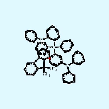 CC1(C)c2ccccc2-c2cc(N(c3ccccc3)c3ccccc3[Si](c3ccccc3)(c3ccccc3)c3cccc(N(c4ccccc4)c4ccccc4)c3)ccc21